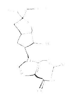 Nc1nc2c(ncn2C2CC3CC(CC(=O)O)(C(=O)O)OC3C2O)c(=O)[nH]1